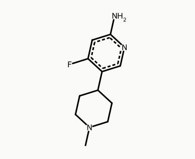 CN1CCC(c2cnc(N)cc2F)CC1